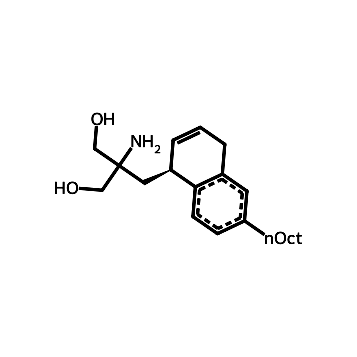 CCCCCCCCc1ccc2c(c1)CC=C[C@@H]2CC(N)(CO)CO